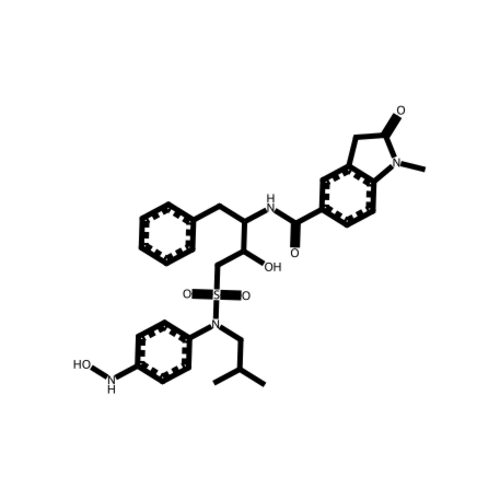 CC(C)CN(c1ccc(NO)cc1)S(=O)(=O)CC(O)C(Cc1ccccc1)NC(=O)c1ccc2c(c1)CC(=O)N2C